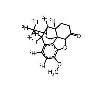 [2H]c1c([2H])c2c3c(c1OC)OC1C(=O)CC[C@]4([2H])[C@@]31CCN(C([2H])([2H])[2H])[C@]4([2H])C2([2H])[2H]